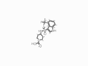 O=C(O)N1CCC(NS(=O)(=O)c2c[nH]c3cccc(C(F)(F)F)c23)CC1